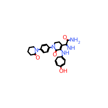 N=C(C(N)=O)C1=C(NC2=CC=C(O)C=CC2)C(=O)N(c2ccc(N3CCCCC3=O)cc2)CC1